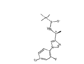 C[C@H](N[S+]([O-])C(C)(C)C)c1cn(-c2ccc(Cl)cc2F)cn1